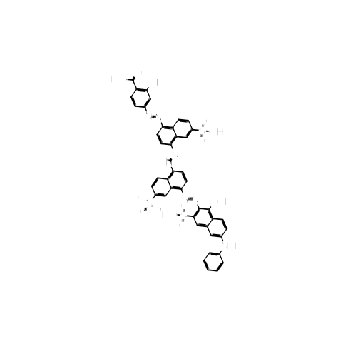 Cc1cc(N=Nc2ccc(N=Nc3ccc(N=Nc4c(S(=O)(=O)O)cc5cc(Nc6ccccc6)ccc5c4O)c4cc(S(=O)(=O)O)ccc34)c3cc(S(=O)(=O)O)ccc23)ccc1C(=O)O